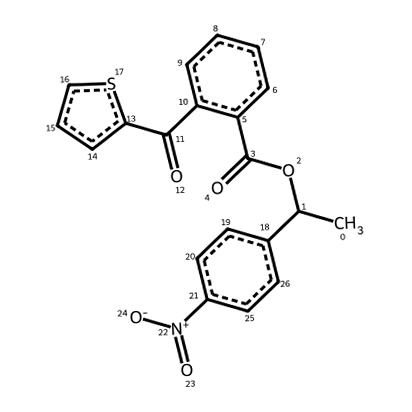 CC(OC(=O)c1ccccc1C(=O)c1cccs1)c1ccc([N+](=O)[O-])cc1